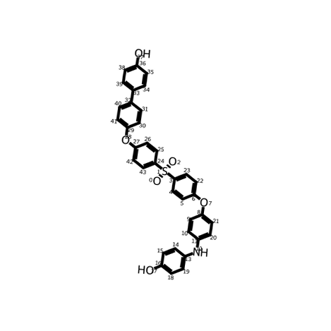 O=S(=O)(c1ccc(Oc2ccc(Nc3ccc(O)cc3)cc2)cc1)c1ccc(Oc2ccc(-c3ccc(O)cc3)cc2)cc1